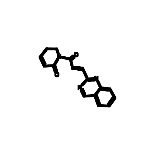 O=C1C=CCCN1C(=O)/C=C/c1ncc2ccccc2n1